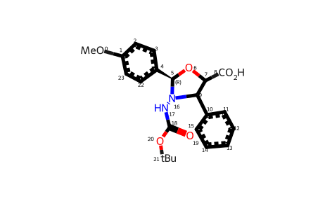 COc1ccc([C@H]2OC(C(=O)O)C(c3ccccc3)N2NC(=O)OC(C)(C)C)cc1